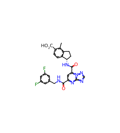 Cc1c(C(=O)O)ccc2c1CC[C@@H]2NC(=O)c1cc(C(=O)NCc2cc(F)cc(F)c2)nc2ncnn12